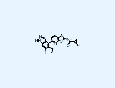 CCc1c(F)cc2[nH]ncc2c1-c1ccc2nc(NC(=O)C3CC3F)sc2n1